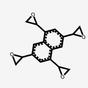 c1c(C2CO2)cc2c(C3CO3)cc(C3CO3)cc2c1C1CO1